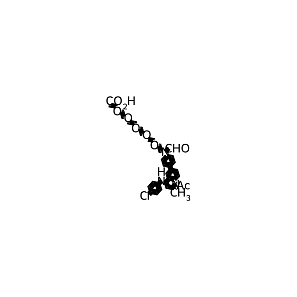 CC(=O)N1c2ccc(-c3ccc(N(C=O)CCOCCOCCOCCOCCOCCC(=O)O)cc3)cc2[C@H](Nc2ccc(Cl)cc2)C[C@@H]1C